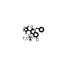 Cc1noc(C)c1-c1c(OS(=O)(=O)C(F)(F)F)c2cc(Cl)ccc2n(Cc2ccccc2)c1=O